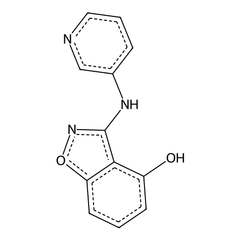 Oc1cccc2onc(Nc3cccnc3)c12